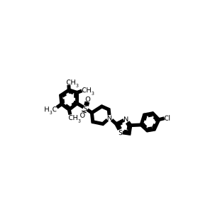 Cc1cc(C)c(C)c(S(=O)(=O)C2CCN(c3nc(-c4ccc(Cl)cc4)cs3)CC2)c1C